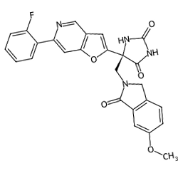 COc1ccc2c(c1)C(=O)N(C[C@@]1(c3cc4cnc(-c5ccccc5F)cc4o3)NC(=O)NC1=O)C2